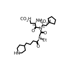 CCN(CC(=O)N(C(=O)[C@@H](N)CC(=O)O)[C@@H](CC1CCCC1)C(=O)O)C(=O)CCCC1CCNCC1